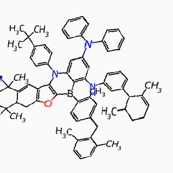 CC1=CCCC(C)C1c1cccc(Nc2cc(N(c3ccccc3)c3ccccc3)cc3c2B(c2ccc(Cc4c(C)cccc4C)cc2C)c2oc4c(c2N3c2ccc(C(C)(C)C)cc2)C=C2C(C4)C(C)(C)CCC2(C)I)c1